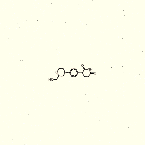 O=C1CCC(c2ccc(N3CCOC(CO)C3)cc2)C(=O)N1